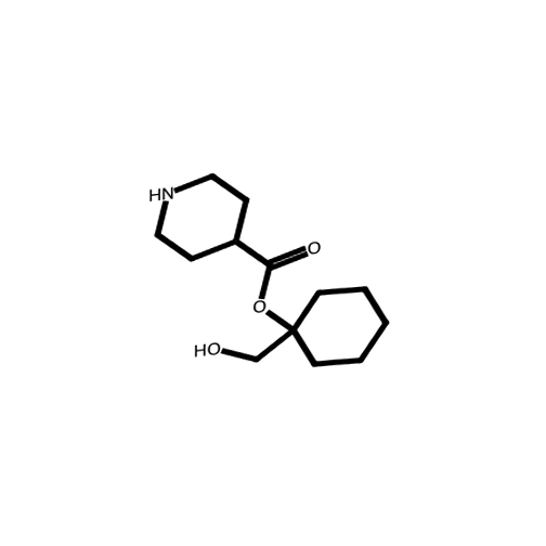 O=C(OC1(CO)CCCCC1)C1CCNCC1